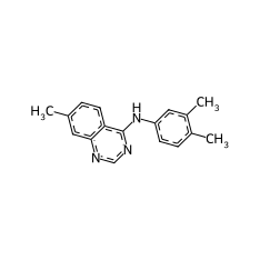 Cc1ccc2c(Nc3ccc(C)c(C)c3)ncnc2c1